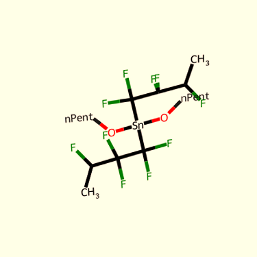 CCCCC[O][Sn]([O]CCCCC)([C](F)(F)C(F)(F)C(C)F)[C](F)(F)C(F)(F)C(C)F